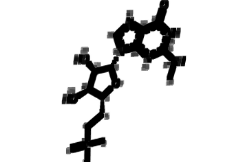 C=P(C)(C)CC[C@H]1O[C@@H](n2cnc3c(=O)[nH]c(NC)nc32)[C@H](O)[C@@H]1O